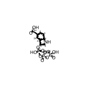 O=[N+](O)c1ccc2[nH]cc(OP(=O)(O)OP(=O)([O-])OP(=O)(O)O)c2c1